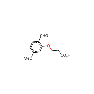 COc1ccc(C=O)c(OCCC(=O)O)c1